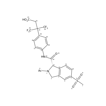 CC(=O)N1Cc2cc(S(C)(=O)=O)ccc2[C@H]1C(=O)Nc1ccc(C(CC(=O)O)(C(F)(F)F)C(F)(F)F)cc1